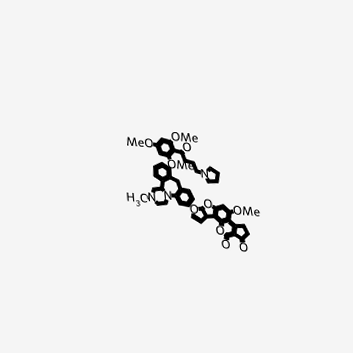 CN1CCN2c3ccccc3Cc3ccccc3C2C1.COc1cc(OC)c(C(=O)CCCN2CCCC2)c(OC)c1.COc1cc2c(c3oc(=O)c4c(c13)CCC4=O)C1C=COC1O2